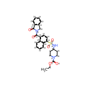 CCOC(=O)N1CCC(NS(=O)(=O)c2ccc(C(=O)N3Cc4ccccc4C3=O)c3ccccc23)CC1